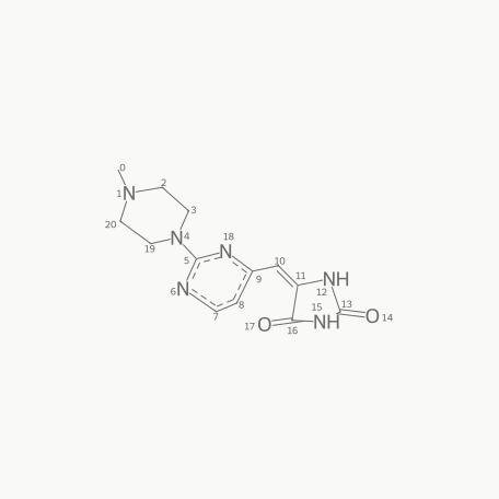 CN1CCN(c2nccc(/C=C3/NC(=O)NC3=O)n2)CC1